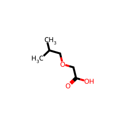 CC(C)COCC(=O)O